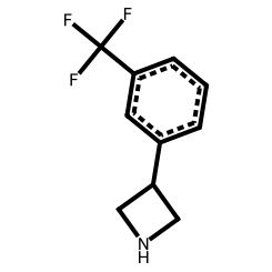 FC(F)(F)c1cccc(C2CNC2)c1